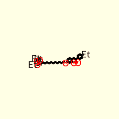 CCO[Si](CCCCCCCCCCCCOc1ccc2cc(-c3ccc(CC)cc3)c(=O)oc2c1)(OCC)OCC